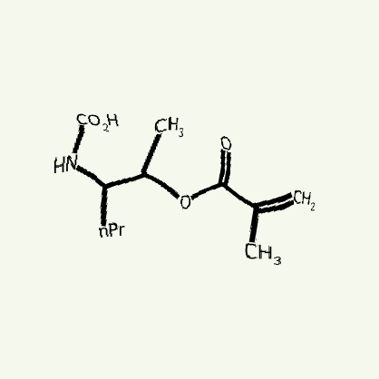 C=C(C)C(=O)OC(C)C(CCC)NC(=O)O